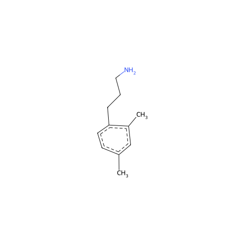 Cc1ccc(CCCN)c(C)c1